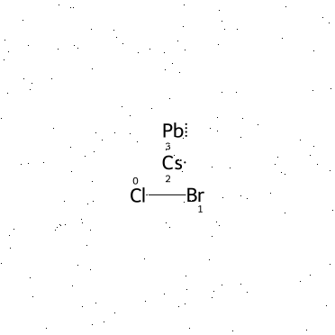 ClBr.[Cs].[Pb]